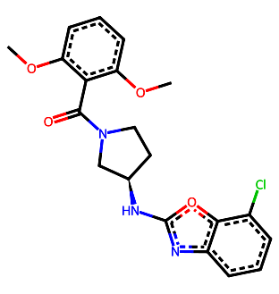 COc1cccc(OC)c1C(=O)N1CC[C@@H](Nc2nc3cccc(Cl)c3o2)C1